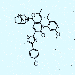 CCc1ccc(OC)cc1-n1c(C=C(C)C)c(C(=O)N2CC3CCN(C2)N3)cc(-c2nc(-c3ccc(Cl)cc3)cs2)c1=O